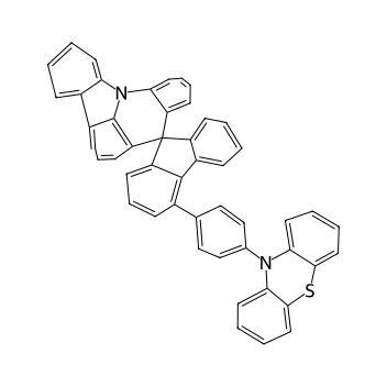 c1ccc2c(c1)Sc1ccccc1N2c1ccc(-c2cccc3c2-c2ccccc2C32c3ccccc3-n3c4ccccc4c4cccc2c43)cc1